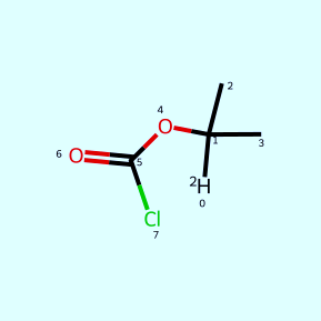 [2H]C(C)(C)OC(=O)Cl